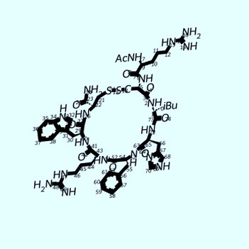 CC[C@@H](C)[C@H]1NC(=O)[C@@H](NC(=O)[C@H](CCCNC(=N)N)NC(C)=O)CSSC[C@@H](C(N)=O)NC(=O)[C@H](Cc2c[nH]c3ccccc23)NC(=O)[C@H](CCCNC(=N)N)NC(=O)[C@@H](Cc2ccccc2)NC(=O)[C@H](Cc2c[nH]cn2)NC1=O